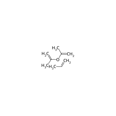 C=C(C)OC(=C)C.C=CC